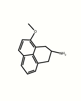 COc1ccc2cccc3c2c1CC(N)C3